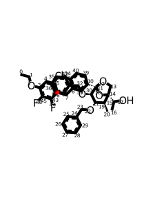 CCOc1ccc(Cc2cc([C@]34OC[C@](C(C)O)(O3)[C@@H](C)[C@H](OCc3ccccc3)[C@H]4OCc3ccccc3)ccc2Cl)c(F)c1F